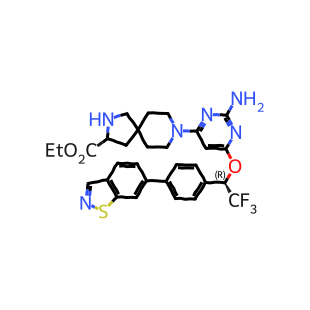 CCOC(=O)C1CC2(CCN(c3cc(O[C@H](c4ccc(-c5ccc6cnsc6c5)cc4)C(F)(F)F)nc(N)n3)CC2)CN1